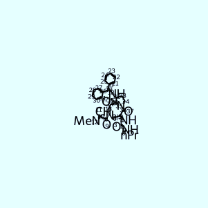 CCCNC(=O)N[C@H]1CN(C(=O)[C@@H](C)NC)CC[C@]2(C(=O)NC(c3ccccc3)c3ccccc3)CCCN2C1=O